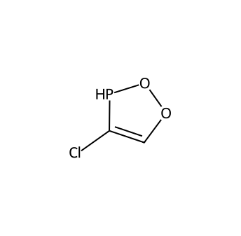 ClC1=COOP1